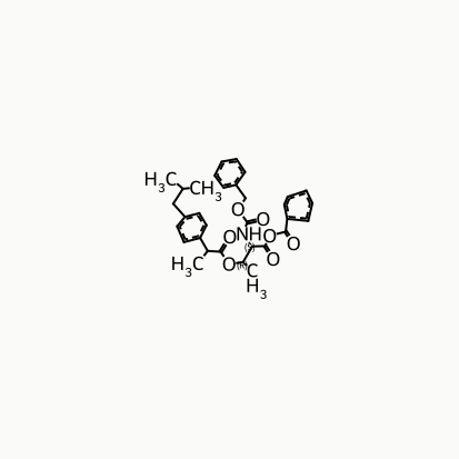 CC(C)Cc1ccc(C(C)C(=O)O[C@H](C)[C@H](NC(=O)OCc2ccccc2)C(=O)OC(=O)c2ccccc2)cc1